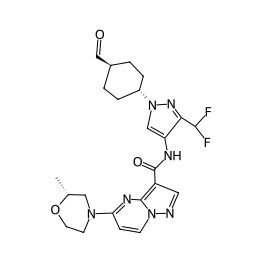 C[C@@H]1CN(c2ccn3ncc(C(=O)Nc4cn([C@H]5CC[C@H](C=O)CC5)nc4C(F)F)c3n2)CCO1